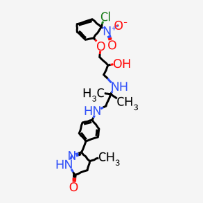 CC1CC(=O)NN=C1c1ccc(NCC(C)(C)NCC(O)COC2C=CC=CC2(Cl)[N+](=O)[O-])cc1